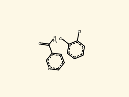 Clc1ccccc1Cl.NC(=O)c1cccnc1